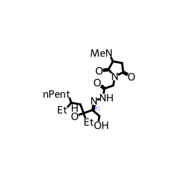 CCCCCC(CC)CC(O)(CC)/C(CO)=N/NC(=O)CN1C(=O)CC(NC)C1=O